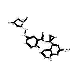 COc1cc(C2(NC(=O)c3cc(OC[C@@H]4C[C@@H](F)CN4C)ccc3C)CC2)c2cccnc2c1